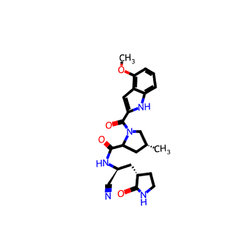 COc1cccc2[nH]c(C(=O)N3C[C@H](C)CC3C(=O)N[C@H](C#N)C[C@@H]3CCNC3=O)cc12